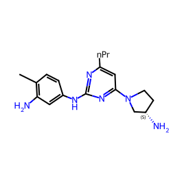 CCCc1cc(N2CC[C@H](N)C2)nc(Nc2ccc(C)c(N)c2)n1